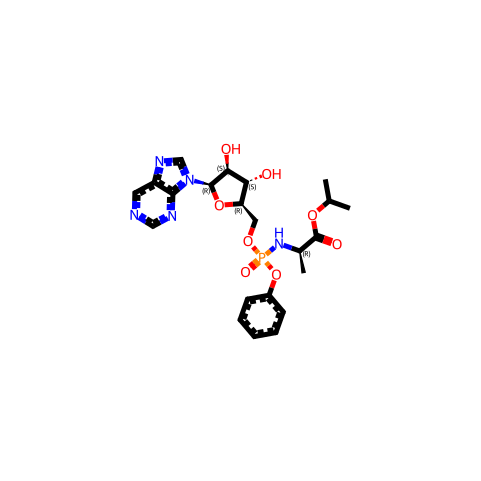 CC(C)OC(=O)[C@@H](C)NP(=O)(OC[C@H]1O[C@@H](n2cnc3cncnc32)[C@@H](O)[C@@H]1O)Oc1ccccc1